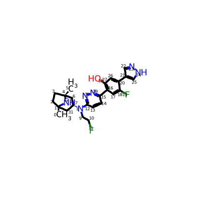 C[C@]12CC[C@](C)(C[C@H](N(CCF)c3ccc(-c4cc(F)c(-c5cn[nH]c5)cc4O)nn3)C1)N2